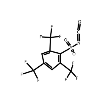 O=C=NS(=O)(=O)c1c(C(F)(F)F)cc(C(F)(F)F)cc1C(F)(F)F